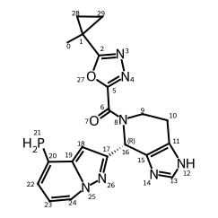 CC1(c2nnc(C(=O)N3CCc4[nH]cnc4[C@@H]3c3cc4c(P)cccn4n3)o2)CC1